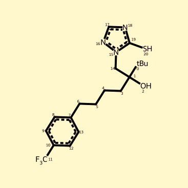 CC(C)(C)C(O)(CCCCc1ccc(C(F)(F)F)cc1)Cn1ncnc1S